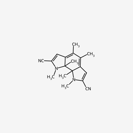 CC1=C2C=C(C#N)N(C)C2(C)C2(C)C(=C1C)C=C(C#N)N2C